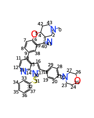 CN1CCC(Oc2ccc(-c3ccnc4c3cc(-c3ccc(N5CCOCC5)cc3)n4Sc3ccccc3)cc2C#N)CC1